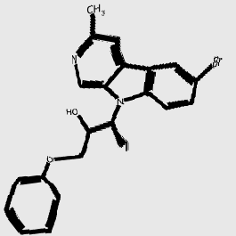 Cc1cc2c3cc(Br)ccc3n(C(I)C(O)COc3ccccc3)c2cn1